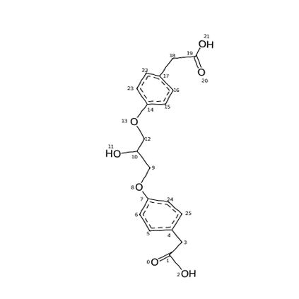 O=C(O)Cc1ccc(OCC(O)COc2ccc(CC(=O)O)cc2)cc1